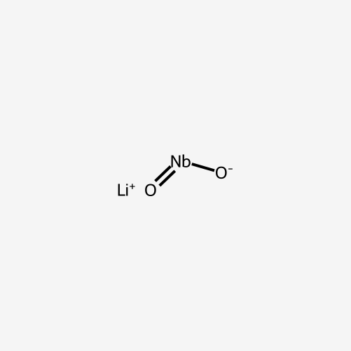 [Li+].[O]=[Nb][O-]